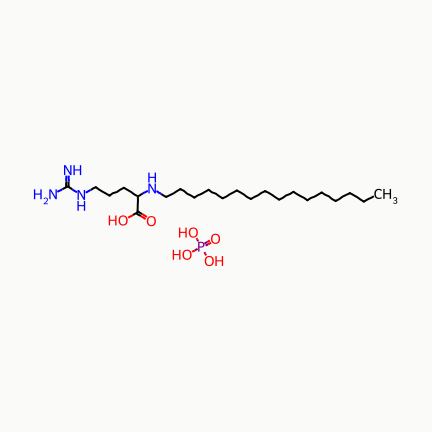 CCCCCCCCCCCCCCCCNC(CCCNC(=N)N)C(=O)O.O=P(O)(O)O